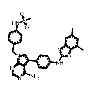 Cc1cc(C)c2oc(Nc3ccc(-c4cn(Cc5ccc(NS(C)(=O)=O)cc5)c5ncnc(N)c45)cc3)nc2c1